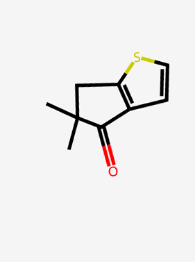 CC1(C)Cc2sccc2C1=O